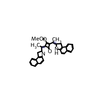 COOC1=C(C(/C)=C2/Cc3c(ccc4ccccc34)N2)C(=O)/C1=C(/C)C1=Nc2ccc3ccccc3c2C1